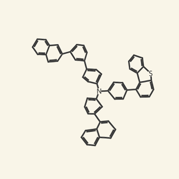 c1cc(-c2ccc(N(c3ccc(-c4cccc5sc6ccccc6c45)cc3)c3cccc(-c4cccc5ccccc45)c3)cc2)cc(-c2ccc3ccccc3c2)c1